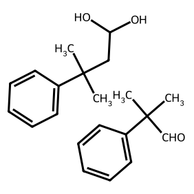 CC(C)(C=O)c1ccccc1.CC(C)(CC(O)O)c1ccccc1